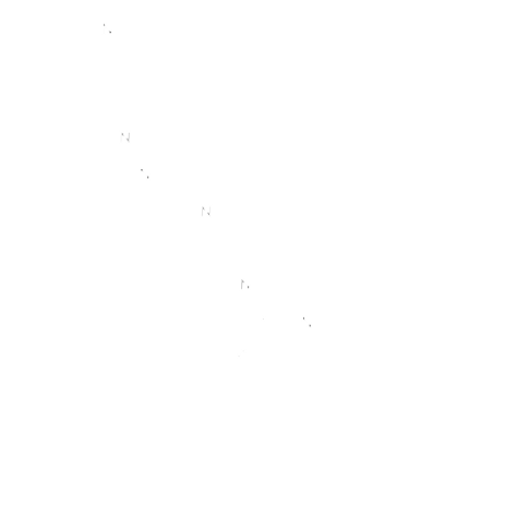 CC(C)c1ccc(N(C)C(=O)N2CCN(c3ccc(C#N)nn3)CC2)cc1